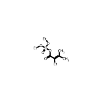 CCOP(=O)(OCC)OC(=O)C(CC)=C(C)C